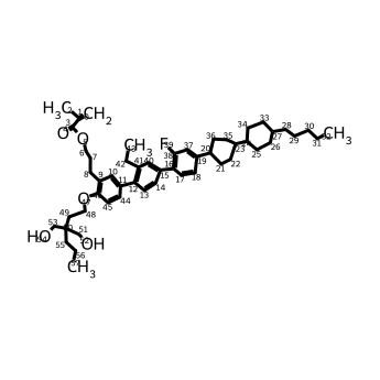 C=C(C)C(=O)OCCCc1cc(-c2ccc(-c3ccc(C4CCC(C5CCC(CCCCC)CC5)CC4)cc3F)cc2CC)ccc1OCCC(CO)(CO)CCC